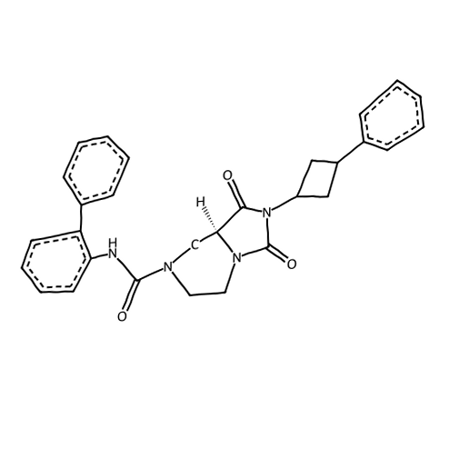 O=C(Nc1ccccc1-c1ccccc1)N1CCN2C(=O)N(C3CC(c4ccccc4)C3)C(=O)[C@@H]2C1